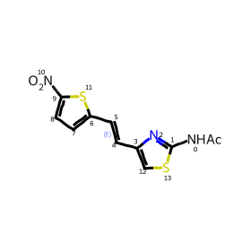 CC(=O)Nc1nc(/C=C/c2ccc([N+](=O)[O-])s2)cs1